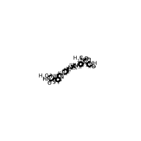 C[C@@H]1CNc2c(sc3ccc4nc(N5CCC(F)(CN6CC7(C6)CN(c6ccc8c(c6)n(C)c(=O)n8C6CCC(=O)NC6=O)C7)CC5)ccc4c23)C(=O)N1